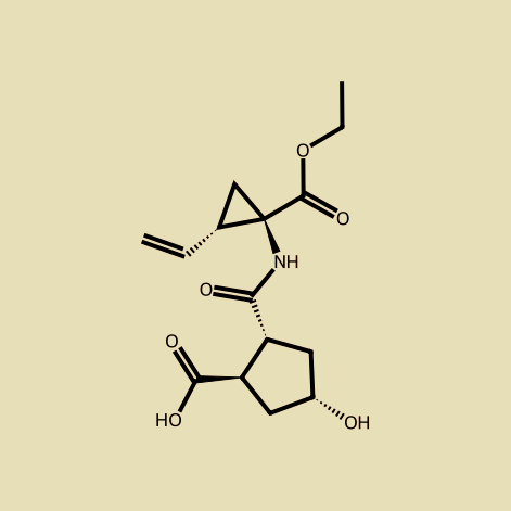 C=C[C@@H]1C[C@]1(NC(=O)[C@@H]1C[C@H](O)C[C@H]1C(=O)O)C(=O)OCC